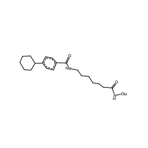 O=C(CCCCCCNC(=O)c1ccc(C2CCCCC2)cc1)NO